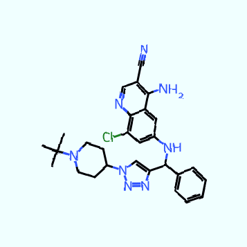 CC(C)(C)N1CCC(n2cc(C(Nc3cc(Cl)c4ncc(C#N)c(N)c4c3)c3ccccc3)nn2)CC1